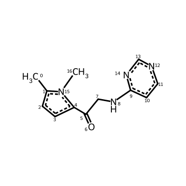 Cc1ccc(C(=O)CNc2ccncn2)n1C